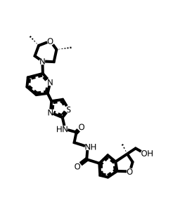 C[C@@H]1CN(c2cccc(-c3csc(NC(=O)CNC(=O)c4ccc5c(c4)[C@@](C)(CO)CO5)n3)n2)C[C@H](C)O1